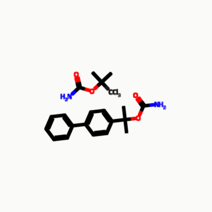 CC(C)(OC(N)=O)C(Cl)(Cl)Cl.CC(C)(OC(N)=O)c1ccc(-c2ccccc2)cc1